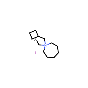 CC[N+]1(CC2CCC2)CCCCCC1.[I-]